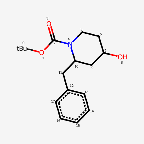 CC(C)(C)OC(=O)N1CCC(O)CC1Cc1ccccc1